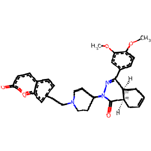 COc1ccc(C2=NN(C3CCN(Cc4ccc5ccc(=O)oc5c4)CC3)C(=O)[C@@H]3CC=CC[C@H]23)cc1OC